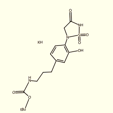 CC(C)(C)OC(=O)NCCCc1ccc(N2CC(=O)NS2(=O)=O)c(O)c1.[KH]